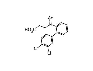 CC(=O)N(CCC(=O)O)c1ccccc1-c1ccc(Cl)c(Cl)c1